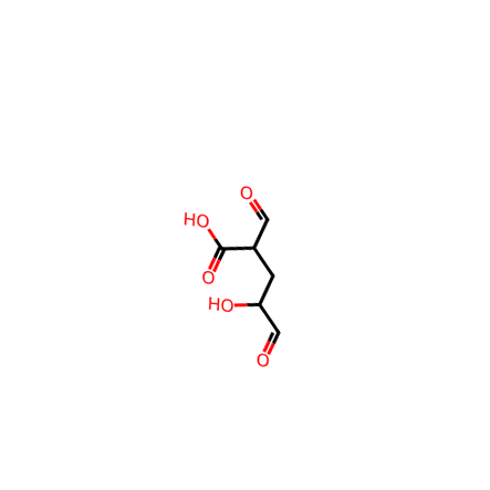 O=CC(O)CC(C=O)C(=O)O